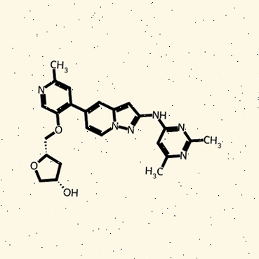 Cc1cc(-c2ccn3nc(Nc4cc(C)nc(C)n4)cc3c2)c(OC[C@@H]2C[C@H](O)CO2)cn1